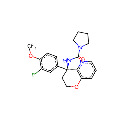 O=C(N[C@]1(c2ccc(OC(F)(F)F)c(F)c2)CCOc2cccnc21)N1CCCC1